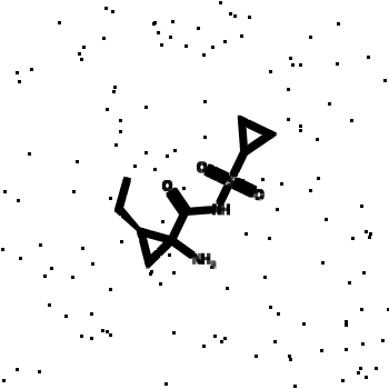 CC[C@@H]1CC1(N)C(=O)NS(=O)(=O)C1CC1